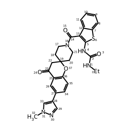 CCNC(=O)Nc1sc2ccccc2c1C(=O)N1CCC2(CC1)CC(=O)c1cc(-c3cnn(C)c3)ccc1O2